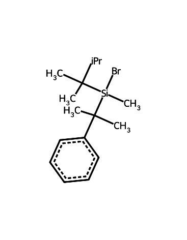 CC(C)C(C)(C)[Si](C)(Br)C(C)(C)c1ccccc1